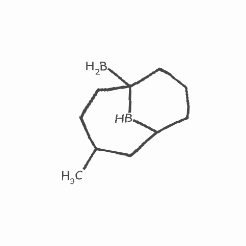 BC12BC(CCC1)CC(C)CC2